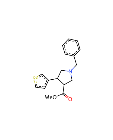 COC(=O)C1CN(Cc2ccccc2)CC1c1ccsc1